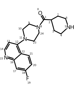 O=C(C1CCNCC1)N1CCN(c2ccnc3cc(F)ccc23)CC1